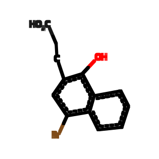 O=C(O)CCc1cc(Br)c2ccccc2c1O